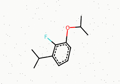 CC(C)Oc1cccc(C(C)C)c1F